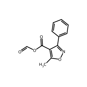 Cc1onc(-c2ccccc2)c1C(=O)OC=O